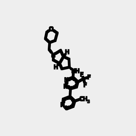 Cc1ccncc1-c1cc(C(F)(F)F)c(N[C@H]2C[C@@H]3CN(CC4CCOCC4)C[C@@H]3C2)nn1